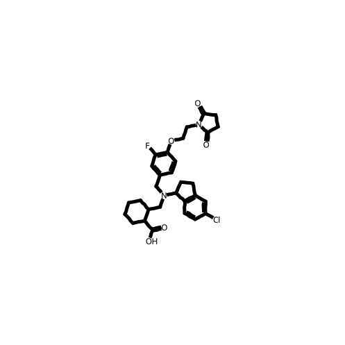 O=C(O)C1CCCCC1CN(Cc1ccc(OCCN2C(=O)CCC2=O)c(F)c1)C1CCc2cc(Cl)ccc21